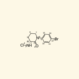 O=C1[C@H](NCl)CCCN1c1ccc(Br)cc1